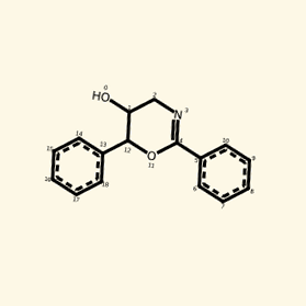 OC1CN=C(c2ccccc2)OC1c1ccccc1